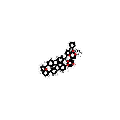 CC1(C)c2ccccc2-c2ccc(N(c3ccc4c(c3)C3(c5cc(-c6ccccc6)ccc5-c5ccc(-c6ccccc6)cc53)c3cc(-c5ccccc5)ccc3-4)c3ccccc3-c3ccccc3)cc21